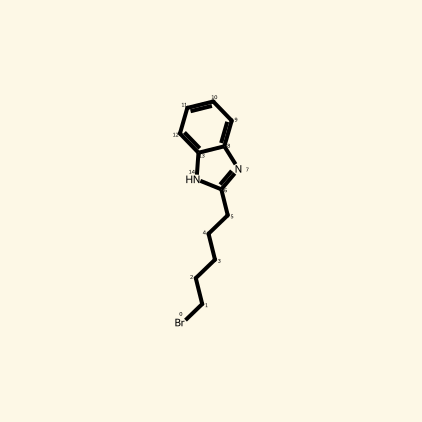 BrCCCCCc1nc2ccccc2[nH]1